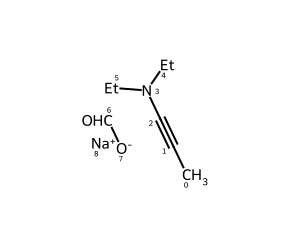 CC#CN(CC)CC.O=C[O-].[Na+]